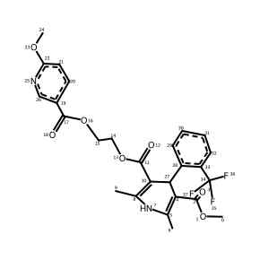 COC(=O)C1=C(C)NC(C)=C(C(=O)OCCOC(=O)c2ccc(OC)nc2)C1c1ccccc1C(F)(F)F